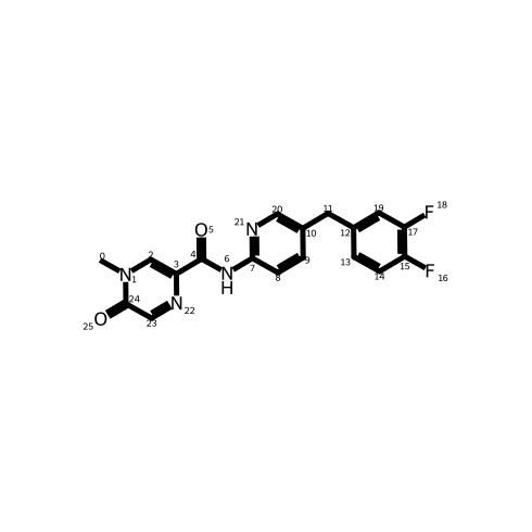 Cn1cc(C(=O)Nc2ccc(Cc3ccc(F)c(F)c3)cn2)ncc1=O